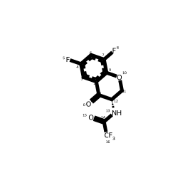 O=C1c2cc(F)cc(F)c2OC[C@@H]1NC(=O)C(F)(F)F